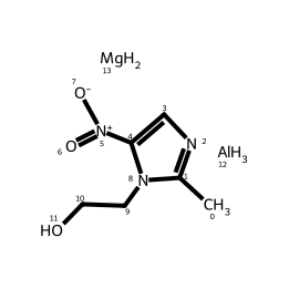 Cc1ncc([N+](=O)[O-])n1CCO.[AlH3].[MgH2]